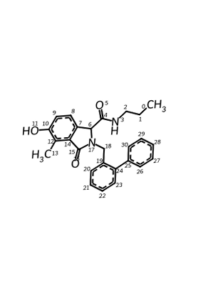 CCCNC(=O)C1c2ccc(O)c(C)c2C(=O)N1Cc1ccccc1-c1ccccc1